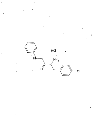 Cl.NC(Cc1ccc(Cl)cc1)C(=O)CNc1ccccc1